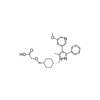 COc1cncc(-c2c(-c3ccccc3)nn(C[C@H]3CC[C@H](COCC(=O)O)CC3)c2C)c1